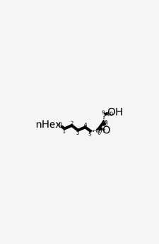 CCCCCCCCCCC[C@H]1O[C@H]1CO